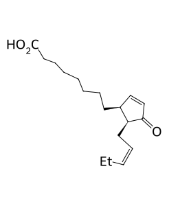 CC/C=C\C[C@@H]1C(=O)C=C[C@@H]1CCCCCCCC(=O)O